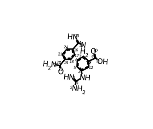 N=C(N)Nc1cccc(C(=O)O)c1.N=C(N)c1ccc(C(N)=O)cc1